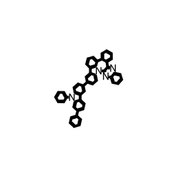 c1ccc(-c2ccc3c4cc(-c5ccc6c(c5)c5cccc7c5n6-c5nc6ccccc6nc5-c5ccccc5-7)ccc4n(-c4ccccc4)c3c2)cc1